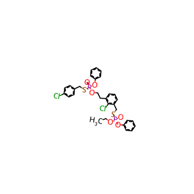 CCOP(=O)(Oc1ccccc1)SCc1cccc(CCOP(=O)(Oc2ccccc2)SCc2ccc(Cl)cc2)c1Cl